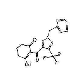 O=C1CCCC(O)=C1C(=O)c1cn(Cc2ccccn2)nc1C(F)(F)F